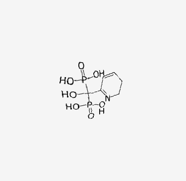 O=P(O)(O)C(O)(C1=NCCC=C1)P(=O)(O)O